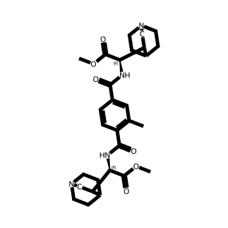 COC(=O)[C@H](NC(=O)c1ccc(C(=O)N[C@@H](C(=O)OC)C2CN3CCC2CC3)c(C)c1)C1CN2CCC1CC2